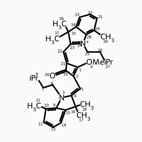 COC1=C(/C=C2\N(CCC(C)C)c3c(C)cccc3C2(C)C)C(=O)/C1=C/C1=[N+](CCC(C)C)c2c(C)cccc2C1(C)C